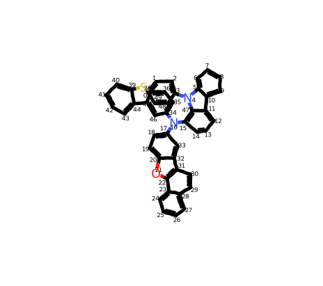 c1ccc(-n2c3ccccc3c3cccc(N(c4ccc5oc6c7ccccc7ccc6c5c4)c4ccc5sc6ccccc6c5c4)c32)cc1